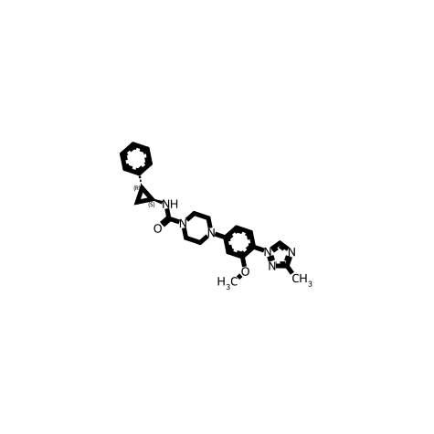 COc1cc(N2CCN(C(=O)N[C@H]3C[C@@H]3c3ccccc3)CC2)ccc1-n1cnc(C)n1